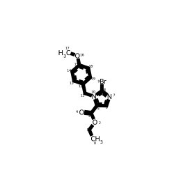 CCOC(=O)c1cnc(Br)n1Cc1ccc(OC)cc1